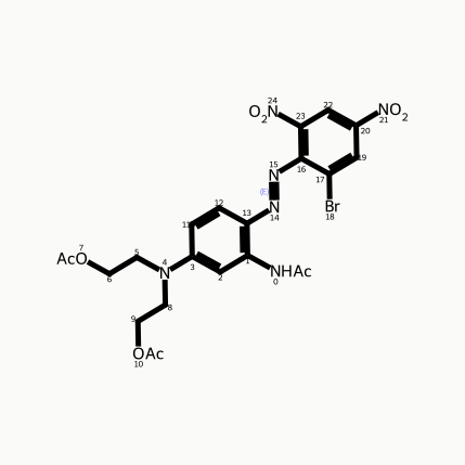 CC(=O)Nc1cc(N(CCOC(C)=O)CCOC(C)=O)ccc1/N=N/c1c(Br)cc([N+](=O)[O-])cc1[N+](=O)[O-]